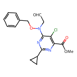 COC(=O)c1nc(C2CC2)nc(N(CC=O)OCc2ccccc2)c1Cl